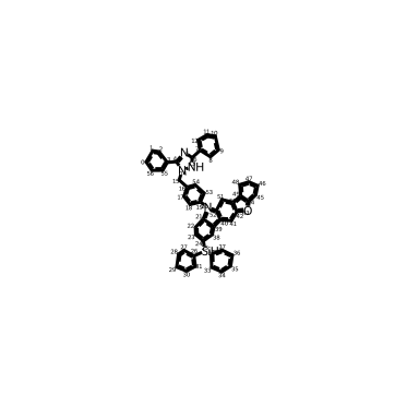 c1ccc(C2=NC(c3ccccc3)NN2Cc2ccc(-n3c4ccc([SiH](c5ccccc5)c5ccccc5)cc4c4cc5oc6ccccc6c5cc43)cc2)cc1